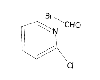 Clc1ccccn1.O=CBr